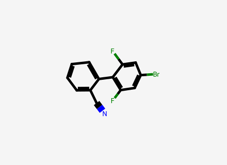 N#Cc1ccccc1-c1c(F)cc(Br)cc1F